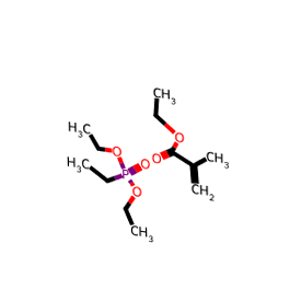 C=C(C)C(=O)OCC.CCOP(=O)(CC)OCC